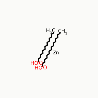 CCCCCCCCCCCCCCCC(=O)O.CCCCCCCCCCCCCCCCCC(=O)O.[Zn]